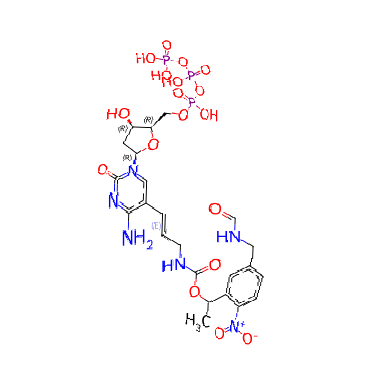 CC(OC(=O)NC/C=C/c1cn([C@H]2C[C@@H](O)[C@@H](COP(=O)(O)OP(=O)(O)OP(=O)(O)O)O2)c(=O)nc1N)c1cc(CNC=O)ccc1[N+](=O)[O-]